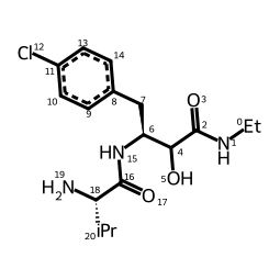 CCNC(=O)C(O)[C@H](Cc1ccc(Cl)cc1)NC(=O)[C@@H](N)C(C)C